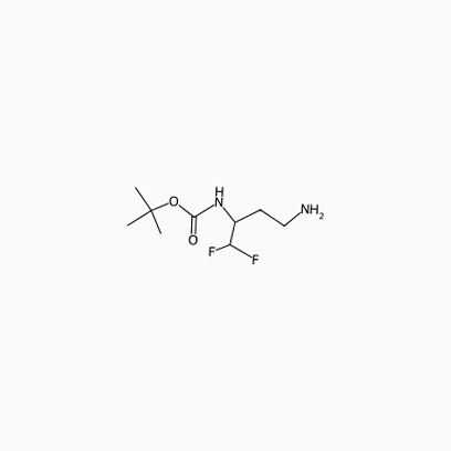 CC(C)(C)OC(=O)NC(CCN)C(F)F